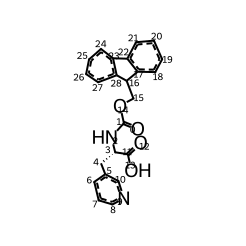 O=C(N[C@@H](Cc1cccnc1)C(=O)O)OCC1c2ccccc2-c2ccccc21